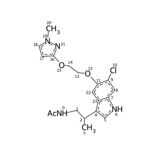 CC(=O)NCC(C)c1c[nH]c2cc(Cl)c(OCCOc3ccn(C)n3)cc12